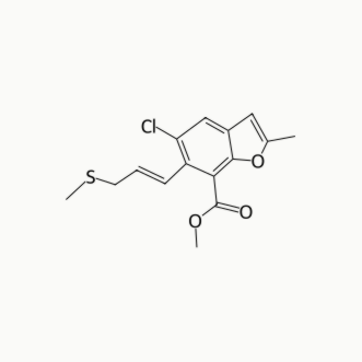 COC(=O)c1c(C=CCSC)c(Cl)cc2cc(C)oc12